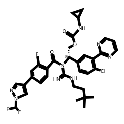 CC(C)(C)CCNC(=N)N(C(=O)c1ccc(-c2cnn(C(F)F)c2)cc1F)[C@H](COC(=O)NC1CC1)c1ccc(Cl)c(-c2ncccn2)c1